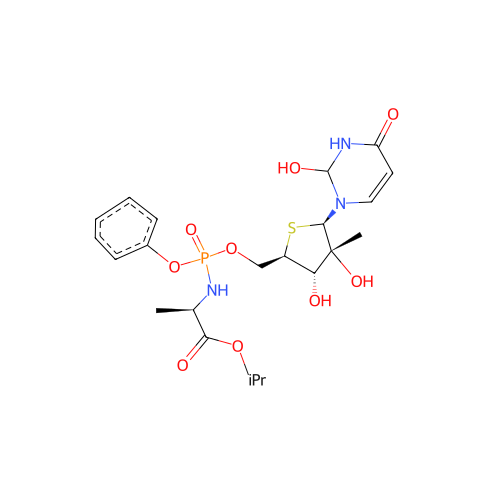 CC(C)OC(=O)[C@@H](C)NP(=O)(OC[C@H]1S[C@@H](N2C=CC(=O)NC2O)[C@](C)(O)[C@@H]1O)Oc1ccccc1